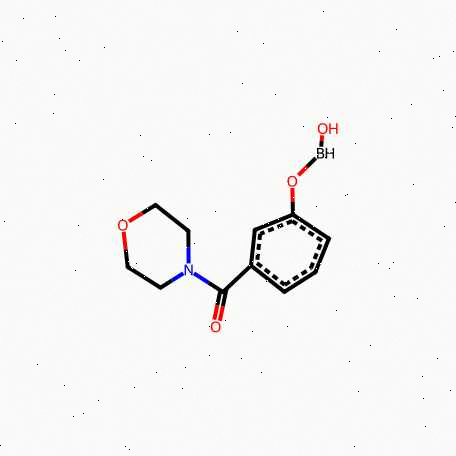 O=C(c1cccc(OBO)c1)N1CCOCC1